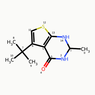 CC1NC(=O)c2c(C(C)(C)C)csc2N1